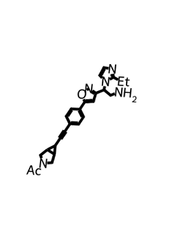 CCc1nccn1C(CN)c1cc(-c2ccc(C#CC3C4CN(C(C)=O)CC34)cc2)on1